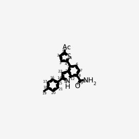 CC(=O)c1ccc(-c2ccc(C(N)=O)c3[nH]c(-c4ccc(C)cc4)cc23)s1